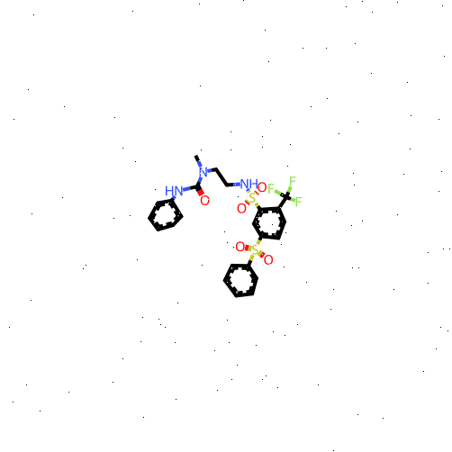 CN(CCNS(=O)(=O)c1cc(S(=O)(=O)c2ccccc2)ccc1C(F)(F)F)C(=O)Nc1ccccc1